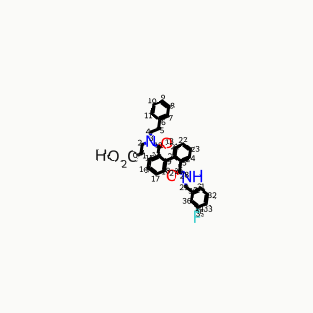 O=C(O)CCN(CCc1ccccc1)C(=O)c1ccccc1-c1ccccc1C(=O)NCc1cccc(F)c1